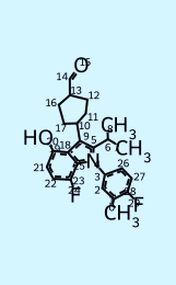 Cc1cc(-n2c(C(C)C)c(C3CCC(C=O)CC3)c3c(O)ccc(F)c32)ccc1F